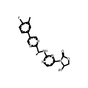 Cc1cc(-c2cnc([C@H](C)Nc3nccc(N4C(=O)OCC4C(C)C)n3)nc2)ccc1F